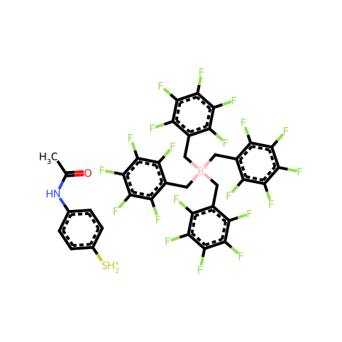 CC(=O)Nc1ccc([SH2+])cc1.Fc1c(F)c(F)c(C[B-](Cc2c(F)c(F)c(F)c(F)c2F)(Cc2c(F)c(F)c(F)c(F)c2F)Cc2c(F)c(F)c(F)c(F)c2F)c(F)c1F